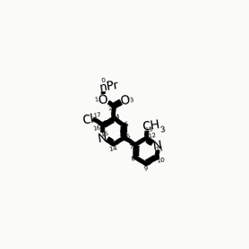 CCCOC(=O)c1cc(-c2cccnc2C)cnc1Cl